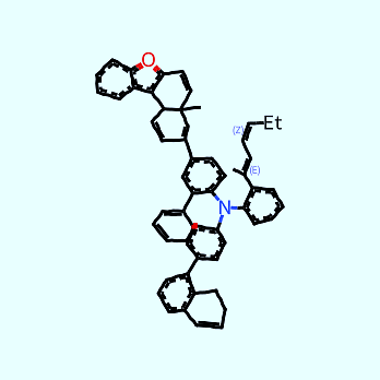 CC/C=C\C=C(/C)c1ccccc1N(c1ccc(-c2cccc3c2CCC=C3)cc1)c1ccc(C2=CC3(C)C=Cc4oc5ccccc5c4C3C=C2)cc1C1=CC=CCC1